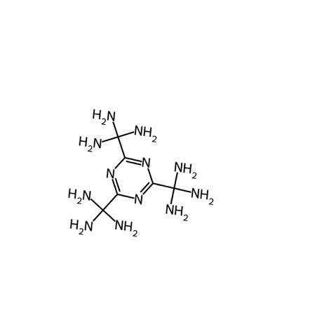 NC(N)(N)c1nc(C(N)(N)N)nc(C(N)(N)N)n1